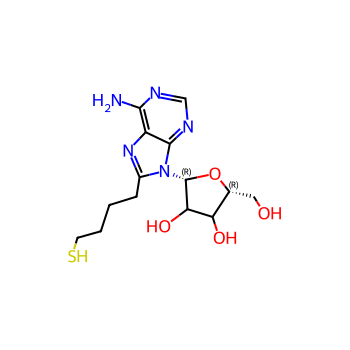 Nc1ncnc2c1nc(CCCCS)n2[C@@H]1O[C@H](CO)C(O)C1O